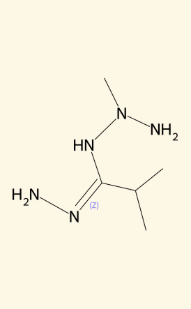 CC(C)/C(=N/N)NN(C)N